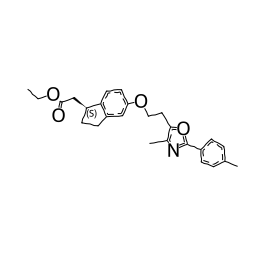 CCOC(=O)C[C@@H]1CCc2cc(OCCc3oc(-c4ccc(C)cc4)nc3C)ccc21